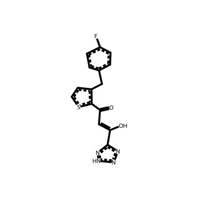 O=C(C=C(O)c1nn[nH]n1)c1sccc1Cc1ccc(F)cc1